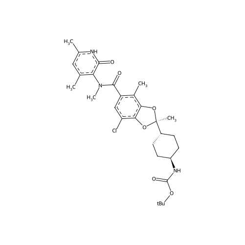 Cc1cc(C)c(N(C)C(=O)c2cc(Cl)c3c(c2C)O[C@@](C)([C@H]2CC[C@H](NC(=O)OC(C)(C)C)CC2)O3)c(=O)[nH]1